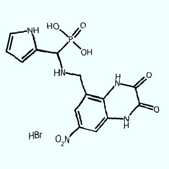 Br.O=c1[nH]c2cc([N+](=O)[O-])cc(CNC(c3ccc[nH]3)P(=O)(O)O)c2[nH]c1=O